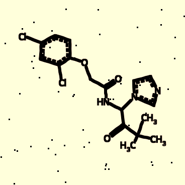 CC(C)(C)C(=O)C(NC(=O)COc1ccc(Cl)cc1Cl)n1ccnc1